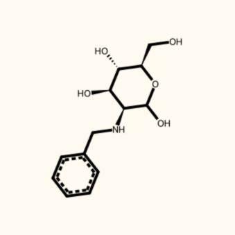 OC[C@H]1OC(O)[C@@H](NCc2ccccc2)[C@@H](O)[C@@H]1O